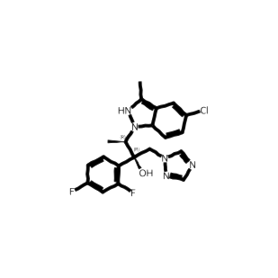 CC1=C2C=C(Cl)C=CC2N([C@H](C)[C@](O)(Cn2cncn2)c2ccc(F)cc2F)N1